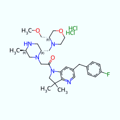 COC[C@@H]1COCCN1C[C@H]1CN[C@H](C)CN1CC(=O)N1CC(C)(C)c2ncc(Cc3ccc(F)cc3)cc21.Cl.Cl